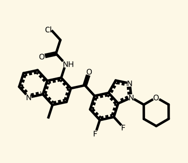 Cc1cc(C(=O)c2cc(F)c(F)c3c2cnn3C2CCCCO2)c(NC(=O)CCl)c2cccnc12